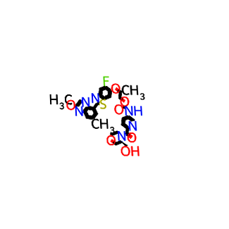 COc1cnc2c(-c3nc4cc(F)c(O[C@@H](C)COC(=O)Nc5ccc(C(=O)N6CCOC[C@@H]6CO)nc5)cc4s3)cc(C)cc2n1